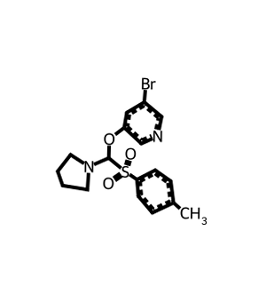 Cc1ccc(S(=O)(=O)C(Oc2cncc(Br)c2)N2CCCC2)cc1